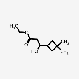 CCOC(=O)CC(O)C1CC(C)(C)C1